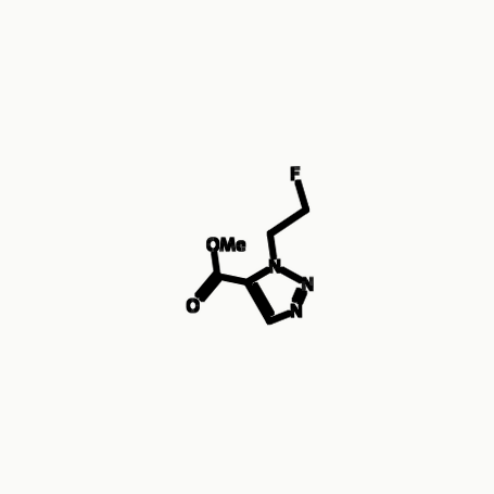 COC(=O)c1cnnn1CCF